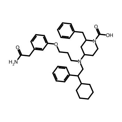 NC(=O)Cc1cccc(OCCCN(CC(c2ccccc2)C2CCCCC2)C2CCN(C(=O)O)C(Cc3ccccc3)C2)c1